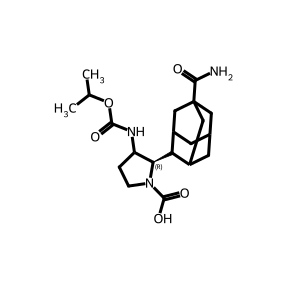 CC(C)OC(=O)NC1CCN(C(=O)O)[C@@H]1C1C2CC3CC1CC(C(N)=O)(C3)C2